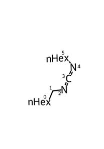 CCCCCCCN=C=NCCCCCC